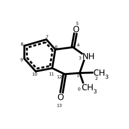 CC1(C)NC(=O)c2ccccc2C1=O